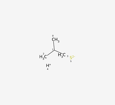 CC(C)C.[H+].[S-2]